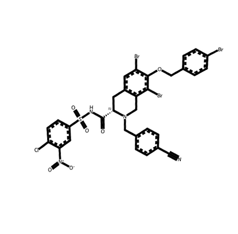 N#Cc1ccc(CN2Cc3c(cc(Br)c(OCc4ccc(Br)cc4)c3Br)C[C@H]2C(=O)NS(=O)(=O)c2ccc(Cl)c([N+](=O)[O-])c2)cc1